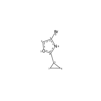 Brc1coc(C2CC2)n1